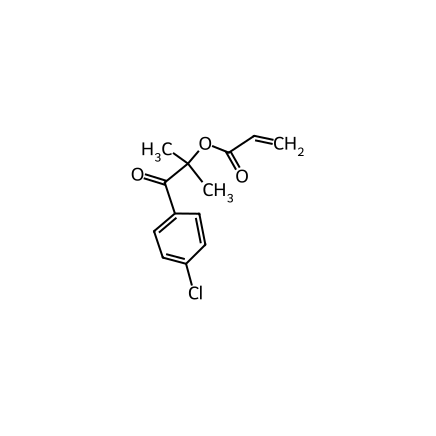 C=CC(=O)OC(C)(C)C(=O)c1ccc(Cl)cc1